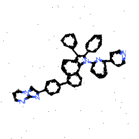 c1ccc(-c2c(-c3ccccc3)n(-c3cccc(-c4ccncc4)n3)c3c2ccc2c(-c4ccc(-c5cn6cccnc6n5)cc4)cccc23)cc1